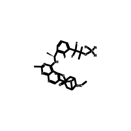 CC=O.CC[Si](CC)(CC)OC(C)(C)C(F)(F)c1cccc([C@@H](C)Nc2nc(C)nc3ncc(N4CC5CC(C4)N5C(=O)OC(C)(C)C)cc23)c1F